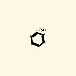 [Sn].c1ccccc1